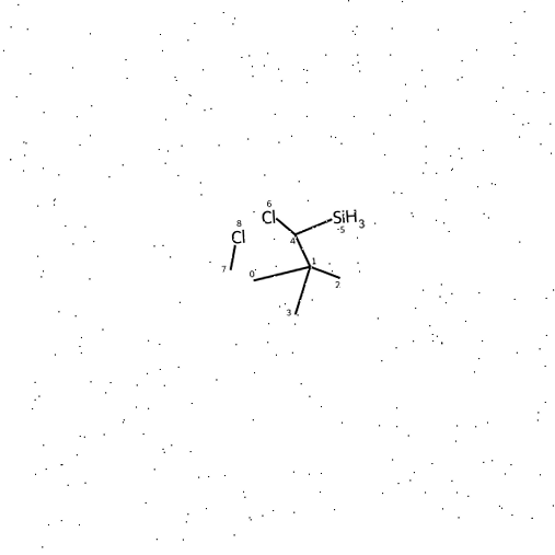 CC(C)(C)C([SiH3])Cl.CCl